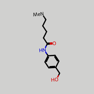 CNCCCCC(=O)Nc1ccc(CO)cc1